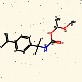 C=C(C)c1ccc(C(C)(C)NC(=O)OC(CCC)OC(C)CC)cc1